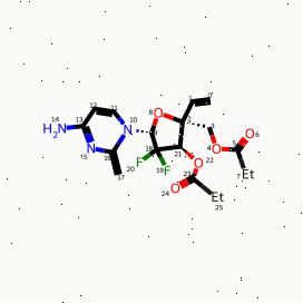 C=C[C@]1(COC(=O)CC)O[C@@H](N2C=CC(N)=NC2=C)C(F)(F)[C@@H]1OC(=O)CC